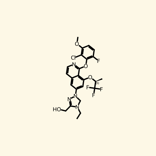 CCN1CN(c2cc(O[C@@H](C)C(F)(F)F)c3c(Oc4c(F)ccc(OC)c4Cl)nccc3c2)N=C1CO